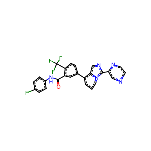 O=C(Nc1ccc(F)cc1)c1cc(-c2cccn3c(-c4cnccn4)ncc23)ccc1C(F)(F)F